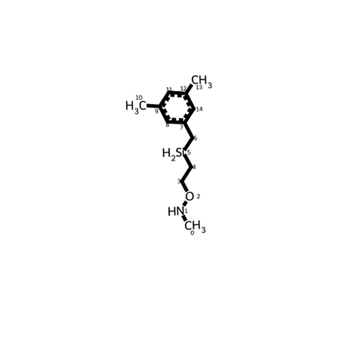 CNOCC[SiH2]Cc1cc(C)cc(C)c1